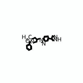 CC1CC(Cn2cnc3cc(-c4cn[nH]c4)ccc32)CCN1C(=O)c1ccccc1